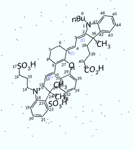 CCCCN1/C(=C/C=C2\CCCC(/C=C/C3=[N+](CCCS(=O)(=O)O)c4ccccc4C3(C)C)=C2Oc2ccc(S(=O)(=O)O)cc2)C(C)(CCCC(=O)O)c2ccccc21